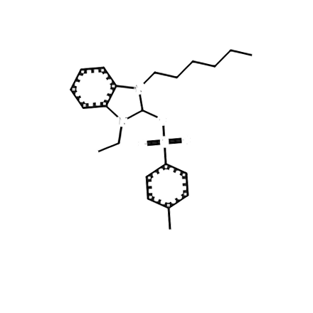 CCCCCCN1c2ccccc2N(CC)C1OS(=O)(=O)c1ccc(C)cc1